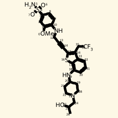 COc1cc(S(N)(=O)=O)ccc1NCC#Cc1sc2c(NC3CCN(CC(C)O)CC3)cccc2c1CC(F)(F)F